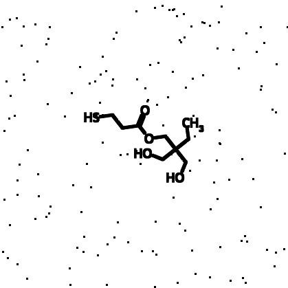 CCC(CO)(CO)COC(=O)CCS